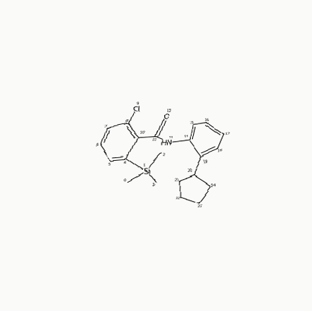 C[Si](C)(C)c1cccc(Cl)c1C(=O)Nc1ccccc1C1CCCC1